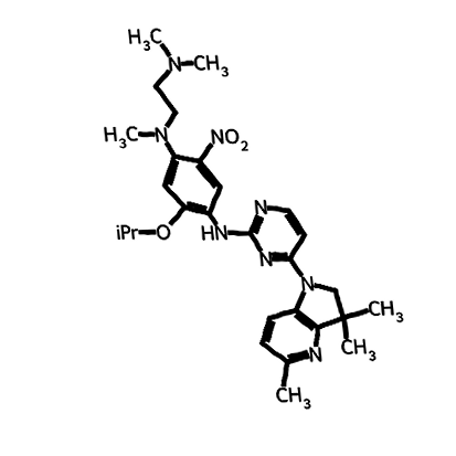 Cc1ccc2c(n1)C(C)(C)CN2c1ccnc(Nc2cc([N+](=O)[O-])c(N(C)CCN(C)C)cc2OC(C)C)n1